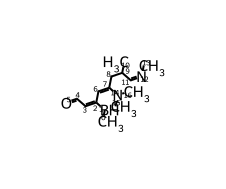 CBC(=C/C=O)/C=C(/CC(C)/C=N\C)N(C)C